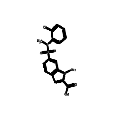 CN(c1ccccc1Cl)S(=O)(=O)c1ccc2cc(C(=O)O)n(O)c2c1